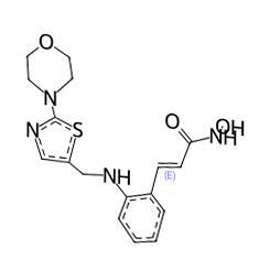 O=C(/C=C/c1ccccc1NCc1cnc(N2CCOCC2)s1)NO